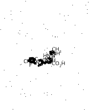 Cc1cc(Nc2nc(C[C@@]3(C(=O)O)CCN(Cc4cccc(Cl)c4F)[C@H](C)C3)cc(C(=O)O)c2F)n[nH]1